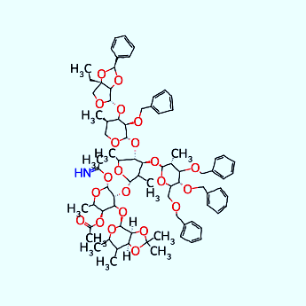 CC[C@]12CO[C@@H](OC3[C@H](C)CO[C@@H](O[C@H]4C(C)O[C@@H](O[C@@H]5C(O[C@@H]6OC(C)C(C)[C@@H]7OC(C)(C)O[C@H]67)[C@@H](OC(C)=O)C(C)O[C@@H]5OC(C)=N)C(C)[C@@H]4O[C@@H]4OC(COCc5ccccc5)[C@@H](OCc5ccccc5)C(OCc5ccccc5)[C@H]4C)[C@@H]3OCc3ccccc3)C1O[C@H](c1ccccc1)O2